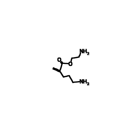 C=C(CCCN)C(=O)OCCN